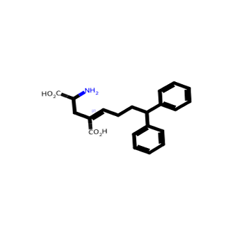 NC(C/C(=C/CCC(c1ccccc1)c1ccccc1)C(=O)O)C(=O)O